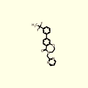 CC(F)(F)c1cccc(-c2ccc3c(c2)OCCN(Cc2ncccn2)C3=O)c1